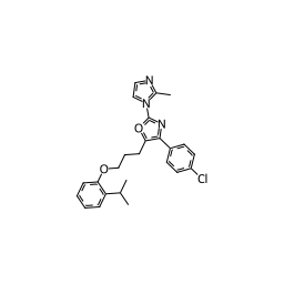 Cc1nccn1-c1nc(-c2ccc(Cl)cc2)c(CCCOc2ccccc2C(C)C)o1